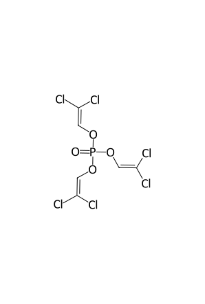 O=P(OC=C(Cl)Cl)(OC=C(Cl)Cl)OC=C(Cl)Cl